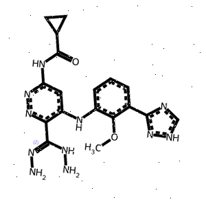 COc1c(Nc2cc(NC(=O)C3CC3)nnc2/C(=N/N)NN)cccc1-c1nc[nH]n1